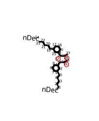 CCCCCCCCCCCC=CC=Cc1cccc(C(OC(c2cccc(C=CC=CCCCCCCCCCCC)c2)C2CO2)C2CO2)c1